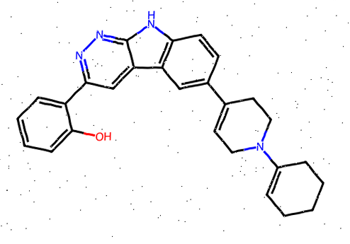 Oc1ccccc1-c1cc2c(nn1)[nH]c1ccc(C3=CCN(C4=CCCCC4)CC3)cc12